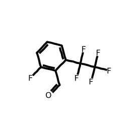 O=Cc1c(F)cccc1C(F)(F)C(F)(F)F